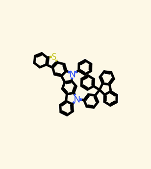 C1=Cc2sc3cc4c(cc3c2CC1)c1cc2c3ccccc3n(-c3cccc(C5(c6ccccc6)c6ccccc6-c6ccccc65)c3)c2cc1n4-c1ccccc1